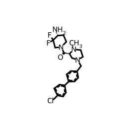 CN1CCN(Cc2ccc(-c3ccc(Cl)cc3)cc2)C[C@H]1C(=O)N1CC[C@@H](N)C(F)(F)C1